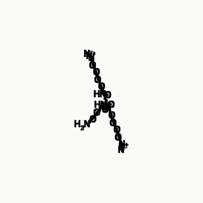 [N-]=[N+]=NCCOCCOCCOCCOCCNC(=O)CC[C@H](NC(=O)CCOCCOCCN)C(=O)NCCOCCOCCOCCOCCN=[N+]=[N-]